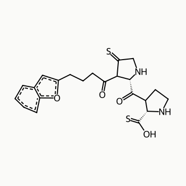 O=C(CCCc1cc2ccccc2o1)C1C(=S)CN[C@@H]1C(=O)C1CCN[C@@H]1C(O)=S